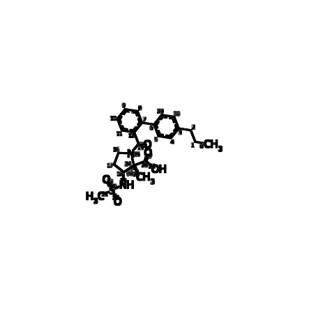 CCCc1ccc(-c2ccccc2C(=O)N2CC[C@H](NS(C)(=O)=O)[C@@]2(C)C(=O)O)cc1